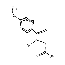 COc1ccc(C(=O)C(Br)CC(=O)O)cc1